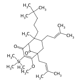 COC1=C([Si](C)(C)C)C(=O)C2C(=O)C1(CC=C(C)C)CC(CC=C(C)C)C2(C)CCCC(C)(C)C